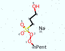 CCCCCOOS(=O)(=O)CCCO.[Na]